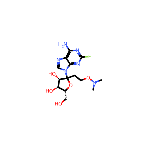 CN(C)OCCC1(n2cnc3c(N)nc(F)nc32)O[C@H](CO)[C@@H](O)[C@H]1O